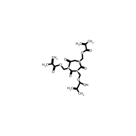 C=C(C)C(=O)OCN1CC(=O)N(COC(=O)C(=C)C)C(=O)N(COC(O)C(=C)C)C1=O